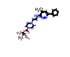 Cc1cc(-c2ccccc2)nnc1NCCN1CCN(C(=O)OC(C)(C)C)CC1